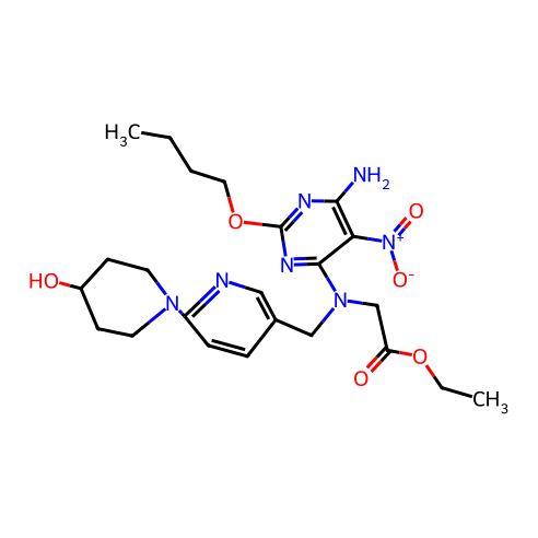 CCCCOc1nc(N)c([N+](=O)[O-])c(N(CC(=O)OCC)Cc2ccc(N3CCC(O)CC3)nc2)n1